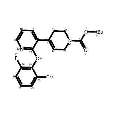 CC(C)(C)OC(=O)N1CC=C(c2cccnc2Oc2c(F)cccc2F)CC1